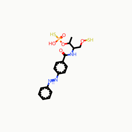 CC(OP(=O)(O)S)C(COS)NC(=O)c1ccc(/N=N/c2ccccc2)cc1